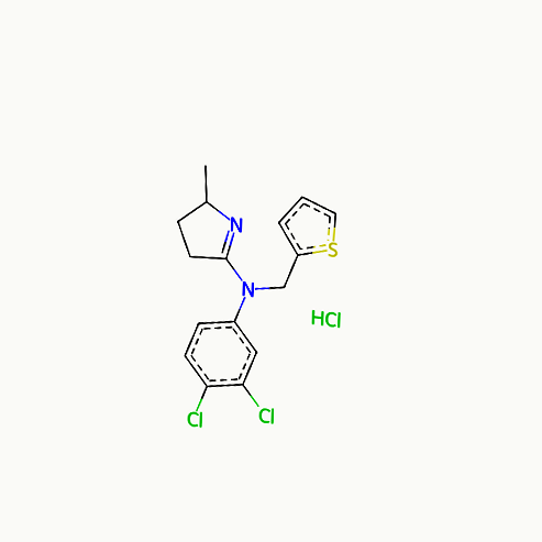 CC1CCC(N(Cc2cccs2)c2ccc(Cl)c(Cl)c2)=N1.Cl